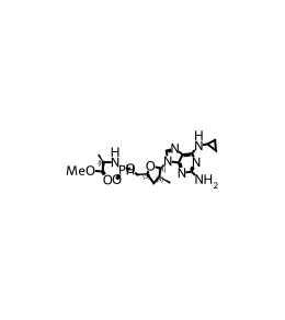 COC(=O)[C@@H](C)N[PH](=O)OC[C@@H]1C[C@H](C)[C@H](n2cnc3c(NC4CC4)nc(N)nc32)O1